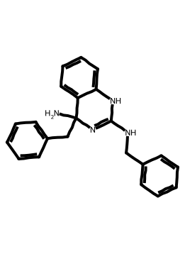 NC1(Cc2ccccc2)N=C(NCc2ccccc2)Nc2ccccc21